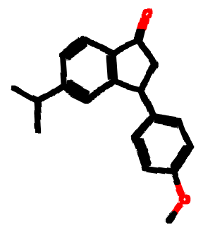 COc1ccc(C2CC(=O)c3ccc(C(C)C)cc32)cc1